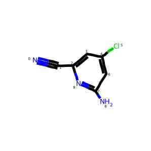 N#Cc1cc(Cl)cc(N)n1